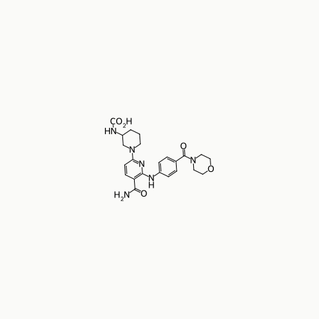 NC(=O)c1ccc(N2CCCC(NC(=O)O)C2)nc1Nc1ccc(C(=O)N2CCOCC2)cc1